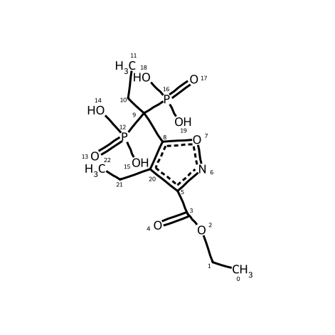 CCOC(=O)c1noc(C(CC)(P(=O)(O)O)P(=O)(O)O)c1CC